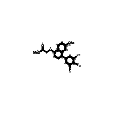 COC(=O)COc1ccc(-c2cc(F)c(F)c(F)c2)c2cc(OC(C)=O)ccc12